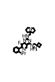 CC(C)c1ccccc1-c1ncc2c(NCC3(N(C)C)CCC3)nc(NCC34CCCN3CCC4)nc2c1F